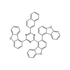 c1ccc2cc(-c3nc(-c4cccc5oc6ccccc6c45)nc(-c4c(-c5cccc6oc7ccccc7c56)ccc5oc6ccccc6c45)n3)ccc2c1